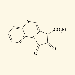 CCOC(=O)C1C(=O)C(=O)N2C1=CSc1ccccc12